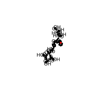 O=C(O)CC[C@@H](NC(=O)N[C@H](CCCCN(Cc1nccc2ccccc12)C(=O)c1ccc(CNC(=O)CCC(C(=O)O)N2CCN(CC(=O)O)CCN(CC(=O)O)CCN(CC(=O)O)CC2)cc1)C(=O)O)C(=O)O